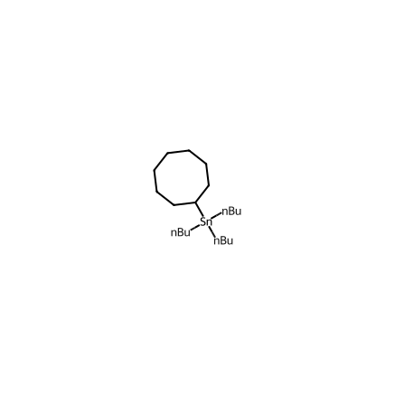 CCC[CH2][Sn]([CH2]CCC)([CH2]CCC)[CH]1CCCCCCC1